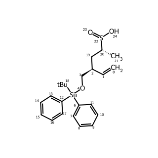 C=C[C@@H](CO[Si](c1ccccc1)(c1ccccc1)C(C)(C)C)C[C@@H](C)S(=O)O